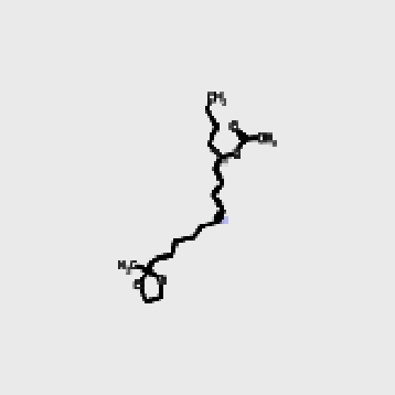 CCCC[C@H](CCC/C=C\CCCCCC1(C)OCCO1)OC(C)=O